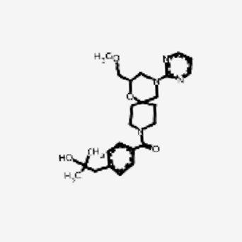 COCC1CN(c2ncccn2)CC2(CCN(C(=O)c3ccc(CC(C)(C)O)cc3)CC2)O1